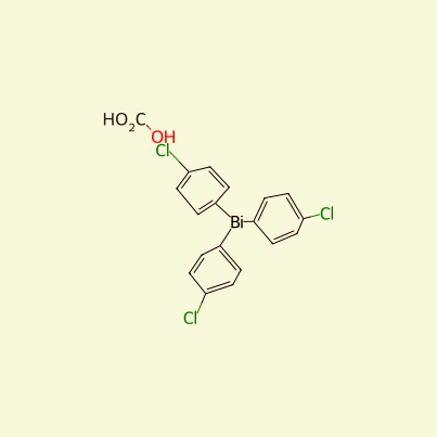 Clc1cc[c]([Bi]([c]2ccc(Cl)cc2)[c]2ccc(Cl)cc2)cc1.O=C(O)O